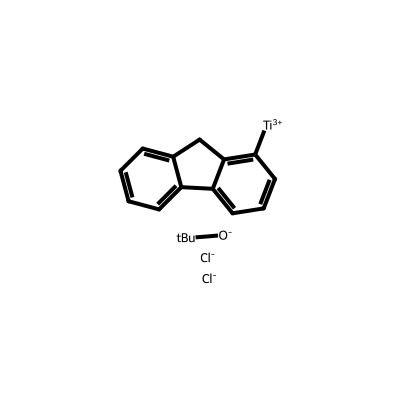 CC(C)(C)[O-].[Cl-].[Cl-].[Ti+3][c]1cccc2c1Cc1ccccc1-2